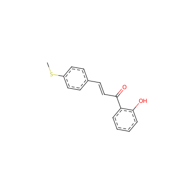 CSc1ccc(C=CC(=O)c2ccccc2O)cc1